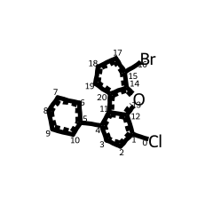 Clc1ccc(-c2ccccc2)c2c1oc1c(Br)cccc12